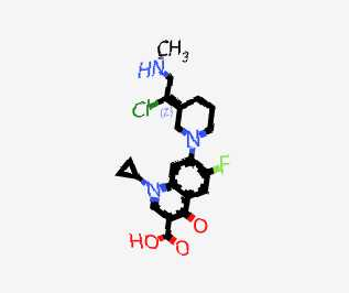 CNC/C(Cl)=C1\CCCN(c2cc3c(cc2F)c(=O)c(C(=O)O)cn3C2CC2)C1